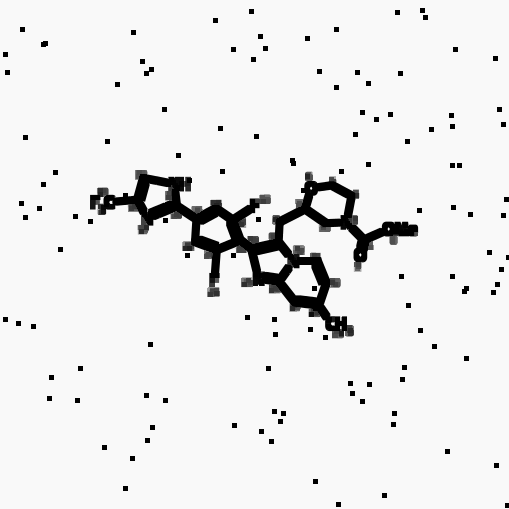 COC(=O)N1CCOC(Cc2c(-c3c(F)cc(-c4nc(C(F)(F)F)c[nH]4)cc3F)nc3cc(C)ccn23)C1